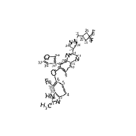 Cc1nc2ccc(Oc3ccc4ncc(-c5cnn(CC6CC(F)(F)C6)c5)nc4c3-c3ccoc3)c(F)c2[nH]1